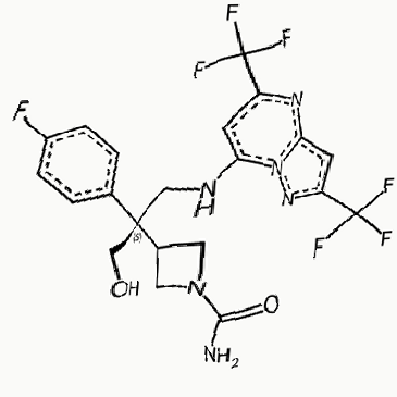 NC(=O)N1CC([C@@](CO)(CNc2cc(C(F)(F)F)nc3cc(C(F)(F)F)nn23)c2ccc(F)cc2)C1